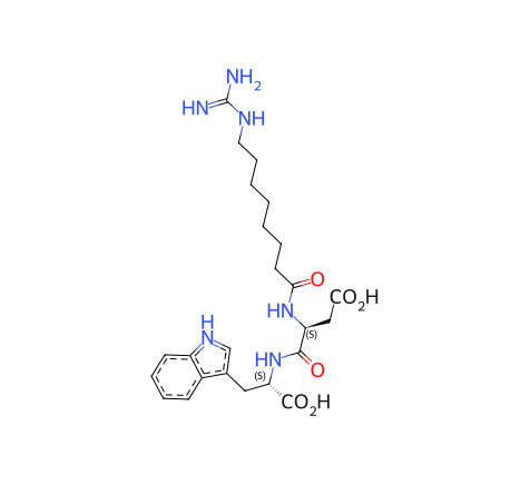 N=C(N)NCCCCCCCC(=O)N[C@@H](CC(=O)O)C(=O)N[C@@H](Cc1c[nH]c2ccccc12)C(=O)O